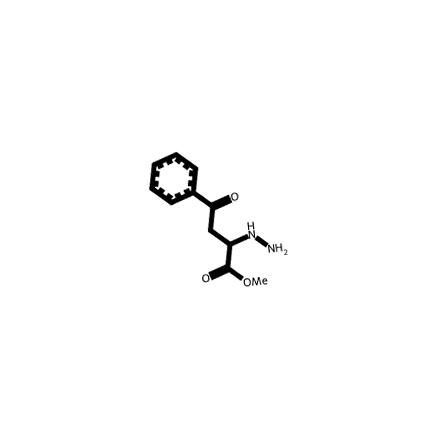 COC(=O)C(CC(=O)c1ccccc1)NN